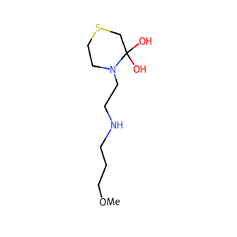 COCCCNCCN1CCSCC1(O)O